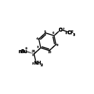 CCCC[C@@H](N)c1ccc(OC(F)(F)F)cc1